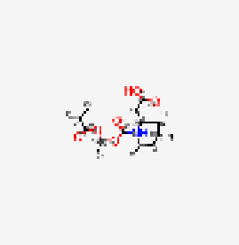 CCC[C@@H](C)[C@@H](C)[C@H](CC(=O)O)NC(=O)O[C@@H](C)OC(=O)C(C)C